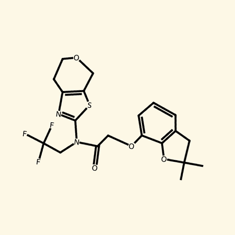 CC1(C)Cc2cccc(OCC(=O)N(CC(F)(F)F)c3nc4c(s3)COCC4)c2O1